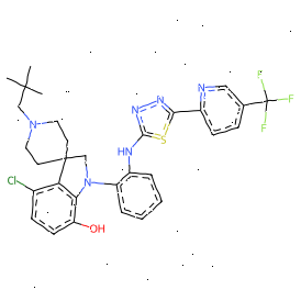 CC(C)(C)CN1CCC2(CC1)CN(c1ccccc1Nc1nnc(-c3ccc(C(F)(F)F)cn3)s1)c1c(O)ccc(Cl)c12